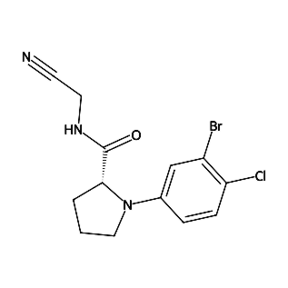 N#CCNC(=O)[C@H]1CCCN1c1ccc(Cl)c(Br)c1